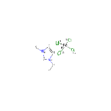 CCN1C=CN(C)C1.[Cl][Fe]([Cl])([Cl])[Cl]